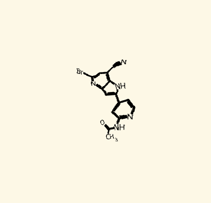 CC(=O)Nc1cc(-c2cc3nc(Br)cc(C#N)c3[nH]2)ccn1